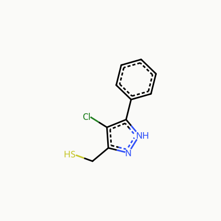 SCc1n[nH]c(-c2ccccc2)c1Cl